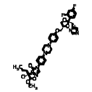 CCC[C@](Cl)(C(=O)OC)n1ncn(-c2ccc(N3CCN(c4ccc(OC[C@@H]5CO[C@@](Cn6cncn6)(c6ccc(F)cc6F)O5)cc4)CC3)cc2)c1=O